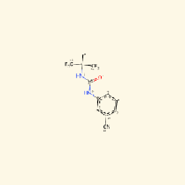 CC(NC(=O)Nc1cccc(C#N)c1)(C(F)(F)F)C(F)(F)F